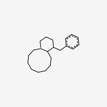 c1ccc(CC2CCCN3CCCCCCCCC23)cc1